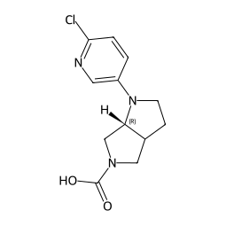 O=C(O)N1CC2CCN(c3ccc(Cl)nc3)[C@H]2C1